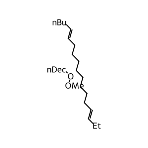 CC/C=C/CCCCCCCC/C=C/CCCC.CCCCCCCCCCOOC